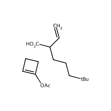 C=CC(CCCC(C)(C)C)C(=O)O.CC(=O)OC1=CCC1